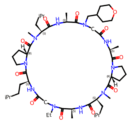 CCN1CC(=O)N[C@@H](CCC(C)C)C(=O)N2CCC[C@@H]2C(=O)N(C)[C@@H](CC(C)C)C(=O)N[C@@H](C)C(=O)N(CC2CCOCC2)CC(=O)N[C@@H](C)C(=O)N2CCC[C@@H]2C(=O)N(C)[C@@H](CC(C)C)C(=O)N[C@@H](C)C1=O